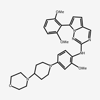 COc1cc(N2CCC(N3CCOCC3)CC2)ccc1Nc1ncc2ccc(-c3c(OC)cccc3OC)n2n1